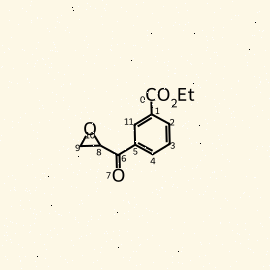 CCOC(=O)c1cccc(C(=O)C2CO2)c1